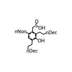 CCCCCCCCCCCCc1cc(CCCCCCCCC)c(CS(=O)O)c(CCCCCCCCCCCC)c1O